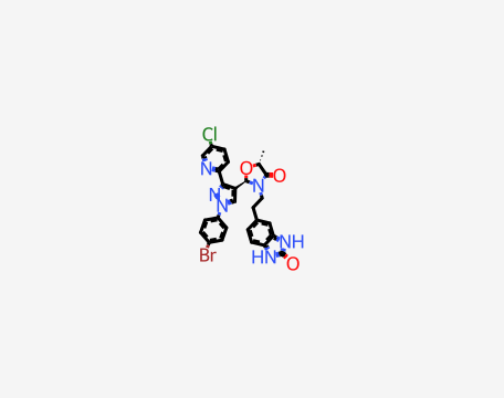 C[C@H]1O[C@H](c2cn(-c3ccc(Br)cc3)nc2-c2ccc(Cl)cn2)N(CCc2ccc3[nH]c(=O)[nH]c3c2)C1=O